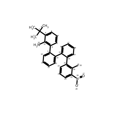 CC(C)(C)c1cccc(-c2ccccc2-c2ccccc2-c2cccc([N+](=O)[O-])c2F)c1N